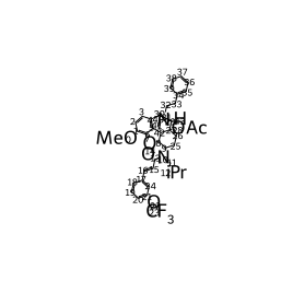 COc1ccc2c3c1OC1C(N(CC(C)C)C(=O)/C=C/c4cccc(OC(F)(F)F)c4)CC[C@@]4(OC(C)=O)[C@@H](C2)N(CCc2ccccc2)CC[C@]314